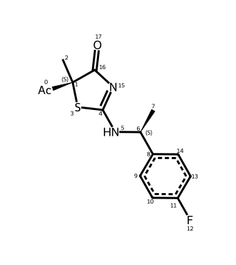 CC(=O)[C@]1(C)SC(N[C@@H](C)c2ccc(F)cc2)=NC1=O